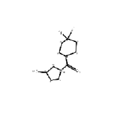 O=C(C1CCC(F)(F)CC1)N1CCC(F)C1